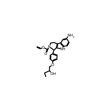 C=COC(=O)N1CCc2c([nH]c3ccc(N)cc23)C1c1ccc(OCC(O)CC)cc1